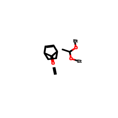 C=C.CCOC(C)OCC.O=C1C2C=CC1CC2